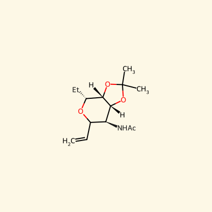 C=CC1O[C@H](CC)[C@@H]2OC(C)(C)O[C@@H]2[C@H]1NC(C)=O